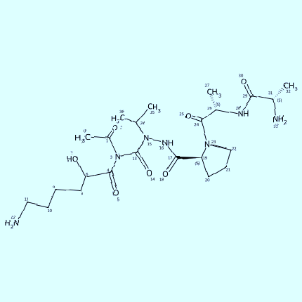 CC(=O)N(C(=O)C(O)CCCCN)C(=O)N(NC(=O)[C@@H]1CCCN1C(=O)[C@H](C)NC(=O)[C@H](C)N)C(C)C